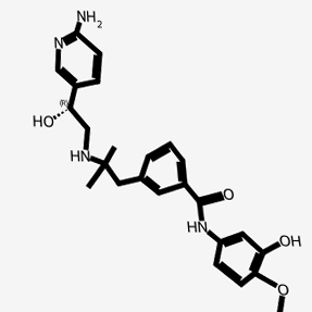 COc1ccc(NC(=O)c2cccc(CC(C)(C)NC[C@H](O)c3ccc(N)nc3)c2)cc1O